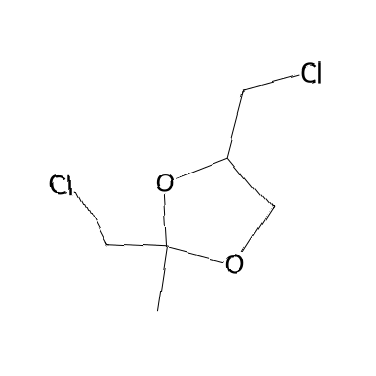 CC1(CCl)OCC(CCl)O1